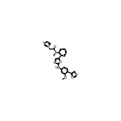 COc1cc(Nc2ncc(-c3ccccc3N(C)C(=O)Cn3ccnc3)o2)ccc1-c1cnco1